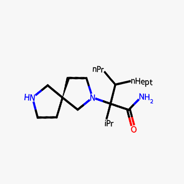 CCCCCCCC(CCC)C(C(N)=O)(C(C)C)N1CC[C@]2(CCNC2)C1